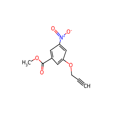 C#CCOc1cc(C(=O)OC)cc([N+](=O)[O-])c1